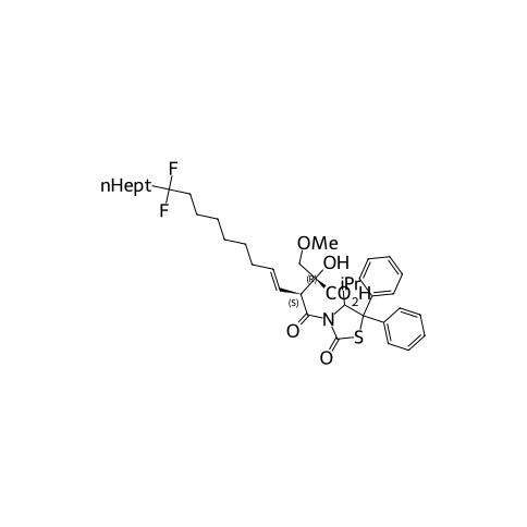 CCCCCCCC(F)(F)CCCCCCC=C[C@H](C(=O)N1C(=O)SC(c2ccccc2)(c2ccccc2)C1C(C)C)[C@@](O)(COC)C(=O)O